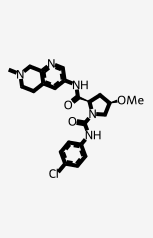 CO[C@@H]1C[C@H](C(=O)Nc2cnc3c(c2)CCN(C)C3)N(C(=O)Nc2ccc(Cl)cc2)C1